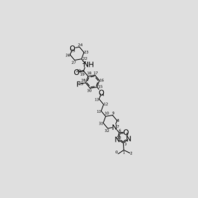 CC(C)c1noc(N2CCC(CCCOc3ccc(C(=O)NC4CCOCC4)c(F)c3)CC2)n1